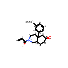 C=CC(=O)N1CCC2(c3cccc(OC)c3)CC(=O)CCC2C1